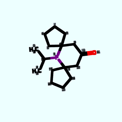 CC(C)P1C2(CCCC2)CC(=O)CC12CCCC2